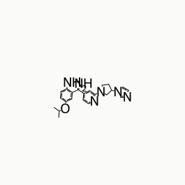 CC(C)Oc1ccc(N)c(C(=N)c2ccnc(N3CCC(n4ccnc4)C3)c2)c1